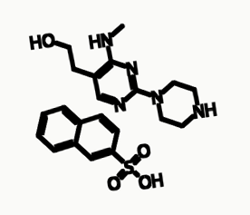 CNc1nc(N2CCNCC2)ncc1CCO.O=S(=O)(O)c1ccc2ccccc2c1